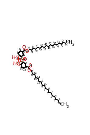 CCCCCCCCCCCCCCCCCCCOC(=O)c1ccc(O)c(S(=O)(=O)c2cc(C(=O)OCCCCCCCCCCCCCCCCCCC)ccc2O)c1